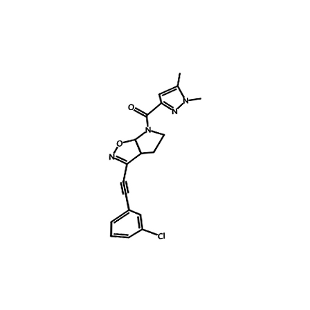 Cc1cc(C(=O)N2CCC3C(C#Cc4cccc(Cl)c4)=NOC32)nn1C